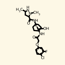 CC1CC(C(=O)NC23CCC(NC(=O)COc4ccc(Cl)c(F)c4)(CC2)C(O)C3)N(C)N1